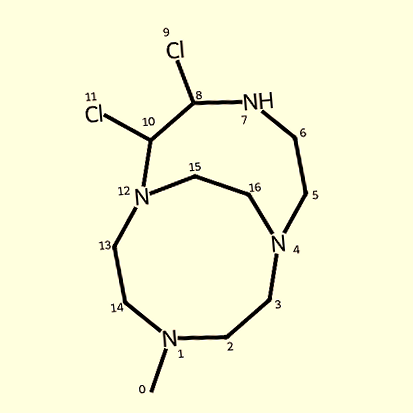 CN1CCN2CCNC(Cl)C(Cl)N(CC1)CC2